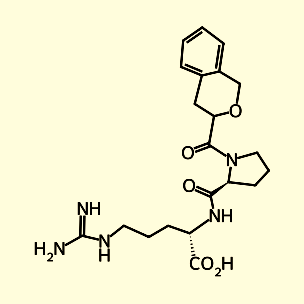 N=C(N)NCCC[C@H](NC(=O)[C@@H]1CCCN1C(=O)C1Cc2ccccc2CO1)C(=O)O